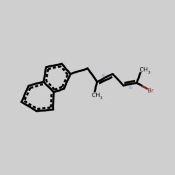 C/C(Br)=C\C=C(/C)Cc1ccc2ccccc2c1